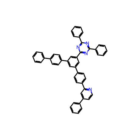 c1ccc(-c2ccc(-c3cc(-c4ccc(-c5cc(-c6ccccc6)ccn5)cc4)cc(-c4nc(-c5ccccc5)nc(-c5ccccc5)n4)c3)cc2)cc1